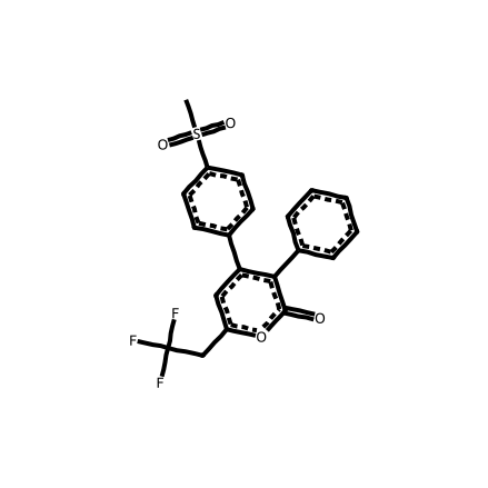 CS(=O)(=O)c1ccc(-c2cc(CC(F)(F)F)oc(=O)c2-c2ccccc2)cc1